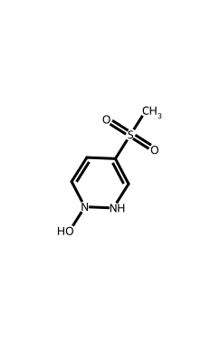 CS(=O)(=O)C1=CNN(O)C=C1